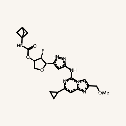 COCc1cn2c(Nc3cc([C@H]4OC[C@@H](OC(=O)NC56CC(C5)C6)[C@H]4F)[nH]n3)nc(C3CC3)cc2n1